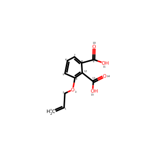 C=CCOc1cccc(C(=O)O)c1C(=O)O